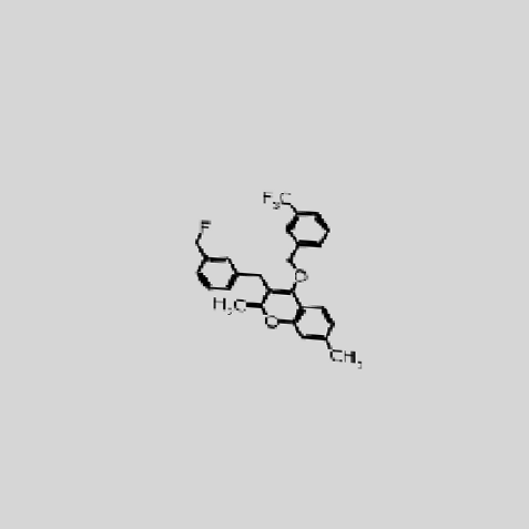 C=C1Oc2cc(C)ccc2C(OCc2cccc(C(F)(F)F)c2)=C1Cc1cccc(CF)c1